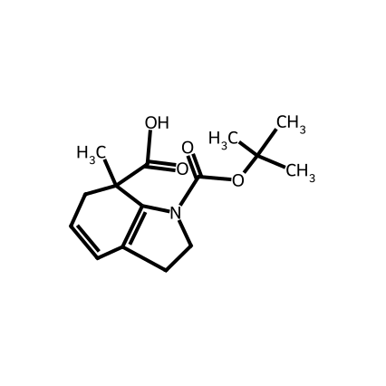 CC(C)(C)OC(=O)N1CCC2=C1C(C)(C(=O)O)CC=C2